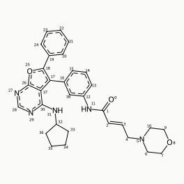 O=C(/C=C/CN1CCOCC1)Nc1cccc(-c2c(-c3ccccc3)oc3ncnc(NC4CCCC4)c23)c1